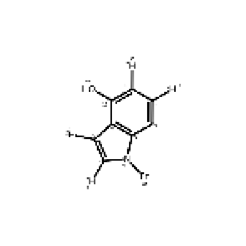 [2H]c1cc2c(c([2H])c([2H])n2CC)c(O)c1[2H]